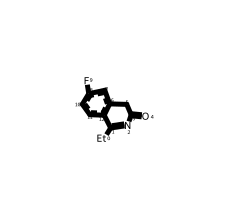 CCC1=NC(=O)Cc2cc(F)ccc21